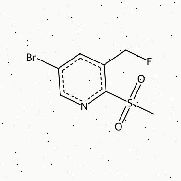 CS(=O)(=O)c1ncc(Br)cc1CF